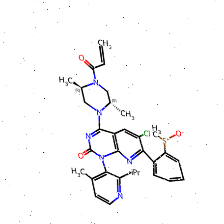 C=CC(=O)N1C[C@H](C)N(c2nc(=O)n(-c3c(C)ccnc3C(C)C)c3nc(-c4ccccc4[S+](C)[O-])c(Cl)cc23)C[C@H]1C